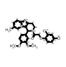 COc1ccc(C2c3c(nc4ccc(C)cn34)CCN2C(=O)COc2ccc(Cl)cc2Cl)cc1OC